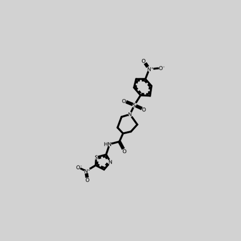 O=C(Nc1ncc([N+](=O)[O-])s1)C1CCN(S(=O)(=O)c2ccc([N+](=O)[O-])cc2)CC1